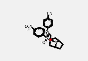 N#Cc1ccc(OCCN2C3CCC2CN(S(=O)(=O)c2ccc([N+](=O)[O-])cc2)C3)cc1